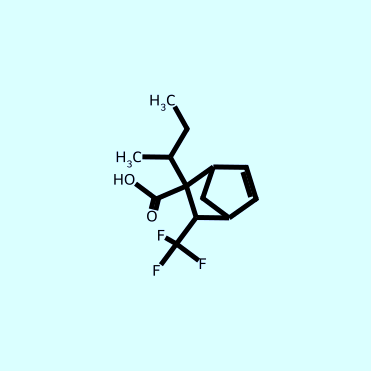 CCC(C)C1(C(=O)O)C2C=CC(C2)C1C(F)(F)F